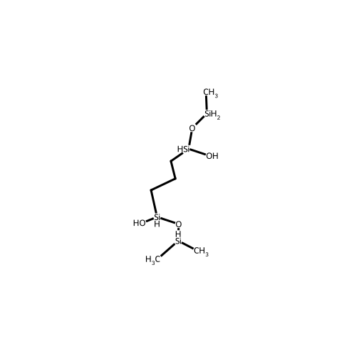 C[SiH2]O[SiH](O)CCC[SiH](O)O[SiH](C)C